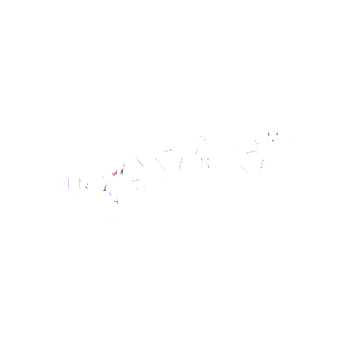 COc1cccc(CCNC(=O)c2ccc(-c3cccc(CN(C)C(=O)CN)c3)cc2)c1